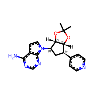 CC1(C)O[C@@H]2[C@H](O1)[C@@H](c1ccncc1)C[C@H]2n1ccc2c(N)ncnc21